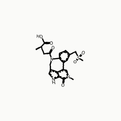 CC(CC(=O)N1Cc2c[nH]c3c(=O)n(C)cc(c23)-c2cc(CS(C)(=O)=O)ccc21)C(=O)O